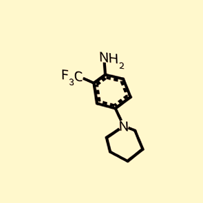 Nc1ccc(N2CCCCC2)cc1C(F)(F)F